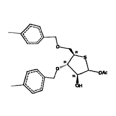 CC(=O)OC1S[C@H](COCc2ccc(C)cc2)[C@@H](OCc2ccc(C)cc2)[C@@H]1O